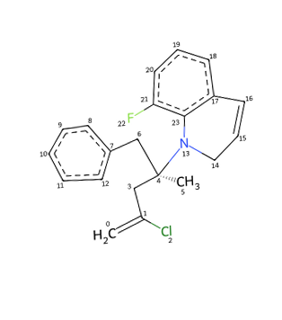 C=C(Cl)C[C@@](C)(Cc1ccccc1)N1CC=Cc2cccc(F)c21